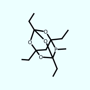 CCC12CC3(CC)OC(CC)(O1)OC(CC)(O2)P3C